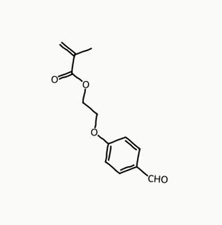 C=C(C)C(=O)OCCOc1ccc(C=O)cc1